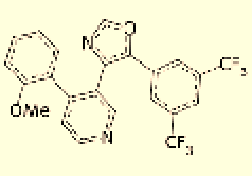 COc1ccccc1-c1ccncc1-c1ncoc1-c1cc(C(F)(F)F)cc(C(F)(F)F)c1